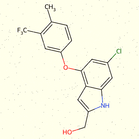 Cc1ccc(Oc2cc(Cl)cc3[nH]c(CO)cc23)cc1C(F)(F)F